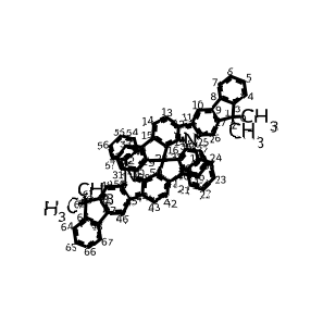 CC1(C)c2ccccc2-c2cc3c4ccc5c(c4n(-c4ccccc4)c3cc21)C1(c2ccccc2-5)c2ccccc2-c2ccc3c4cc5c(cc4n(-c4ccccc4)c3c21)C(C)(C)c1ccccc1-5